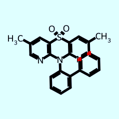 Cc1cnc2c(c1)S(=O)(=O)c1cc(C)cnc1N2c1ccccc1-c1ccccc1